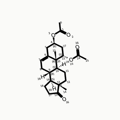 CC(=O)O[C@@H]1CC2=CC[C@@H]3[C@H](CC[C@]4(C)C(=O)CC[C@@H]34)[C@@]2(C)[C@@H](OC(C)=O)C1